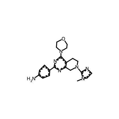 Cn1ccnc1N1CCc2c(nc(-c3ccc(N)cc3)nc2N2CCOCC2)C1